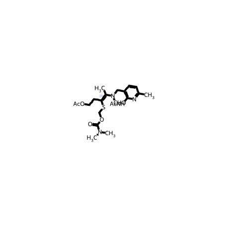 CC(=O)Nc1nc(C)ccc1CN(C=O)/C(C)=C(/CCOC(C)=O)SCOC(=O)N(C)C